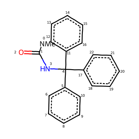 CNC(=O)NC(c1ccccc1)(c1ccccc1)c1ccccc1